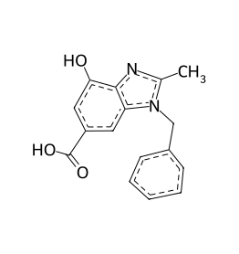 Cc1nc2c(O)cc(C(=O)O)cc2n1Cc1ccccc1